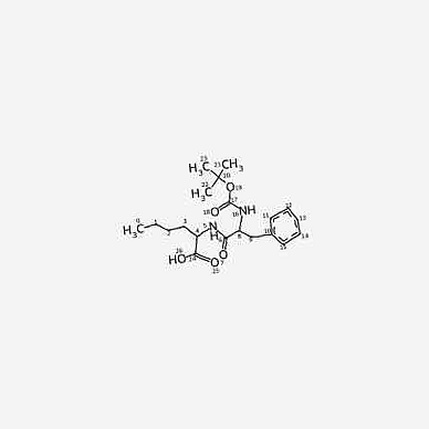 CCCCC(NC(=O)C(Cc1ccccc1)NC(=O)OC(C)(C)C)C(=O)O